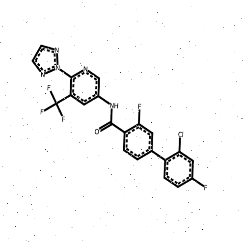 O=C(Nc1cnc(-n2nccn2)c(C(F)(F)F)c1)c1ccc(-c2ccc(F)cc2Cl)cc1F